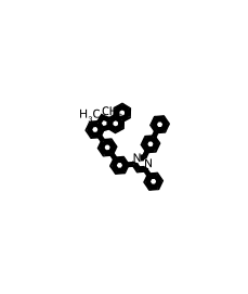 CC1(C)c2cccc(-c3ccc(-c4cccc(-c5cc(-c6ccccc6)nc(-c6ccc(-c7ccccc7)cc6)n5)c4)cc3)c2-c2ccc3ccccc3c21